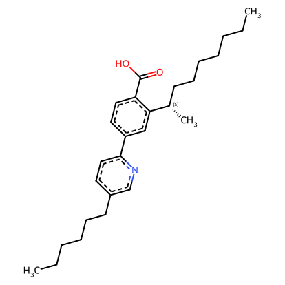 CCCCCCC[C@H](C)c1cc(-c2ccc(CCCCCC)cn2)ccc1C(=O)O